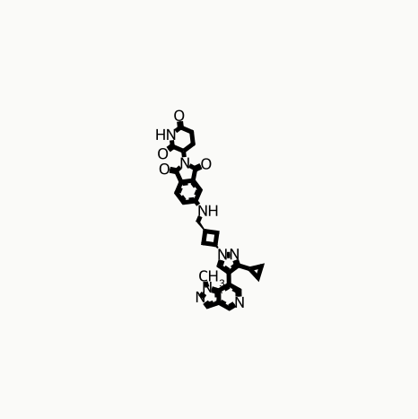 Cn1ncc2cncc(-c3cn([C@H]4C[C@H](CNc5ccc6c(c5)C(=O)N(C5CCC(=O)NC5=O)C6=O)C4)nc3C3CC3)c21